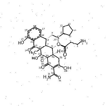 BCCC(=O)O[C@H]1C2[C@@H](CSC3CCCC3)c3cccc(O)c3C(=O)C2(C)C(O)[C@]2(O)C(=O)C(C(N)=O)=C(O)C[C@H]12